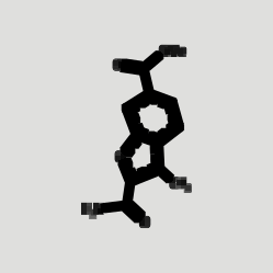 COC(=O)c1ccc2c(C)c(C(N)=O)oc2c1